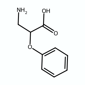 NCC(Oc1ccccc1)C(=O)O